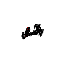 CCOC(=O)C1=C(C)/C(=C(\c2c(-c3ccc(-c4ccccc4)cc3)cc(OC(=O)Cc3ccc(-n4c(=O)c5cc(-c6cc(C(F)(F)F)cc(C(F)(F)F)c6)c6oc7ccccc7c7c(-c8cc(C(F)(F)F)cc(C(F)(F)F)c8)cc(c4=O)c5c67)cc3)cc2-c2ccc(-c3ccccc3)cc2)c2c(C)c(C(=O)OCC)c(C)n2B(F)F)N=C1C